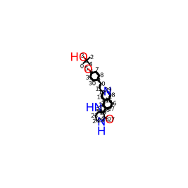 CC(C)(O)COc1ccc(C=Cc2cc3c(ccc4c5c([nH]c43)CCNC5=O)cn2)cc1